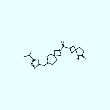 O=C1CCC2(CN(C(=O)N3CC4(CCN(Cc5ncc(C(F)F)s5)CC4)C3)C2)N1